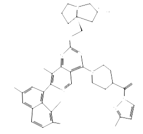 CCc1c(F)ccc2cc(O)cc(-c3ncc4c(N5CCC(C(=O)n6ccc(C(C)(C)C)n6)CC5)nc(OC[C@@]56CCCN5C[C@H](F)C6)nc4c3F)c12